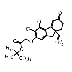 C=CC12CCC(=O)C=C1c1c(cc(OCC(=O)OC(C)(C)C(=O)O)c(Cl)c1Cl)C2